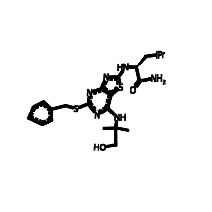 CC(C)C[C@H](Nc1nc2nc(SCc3ccccc3)nc(NC(C)(C)CO)c2s1)C(N)=O